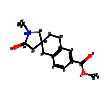 COC(=O)c1ccc2c(c1)CCC1(CC(=O)N(C)C1)C2